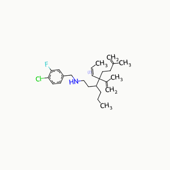 C=C(C)CCC(/C=C\C)(C(=C)C)C(CCC)CCNCc1ccc(Cl)c(F)c1